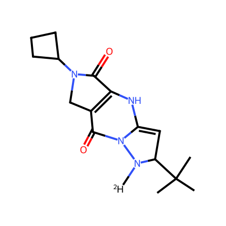 [2H]N1C(C(C)(C)C)C=C2NC3=C(CN(C4CCC4)C3=O)C(=O)N21